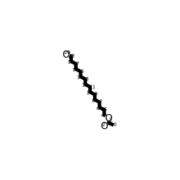 CC(=O)OCCCCCCCCCCCCCCCC=O